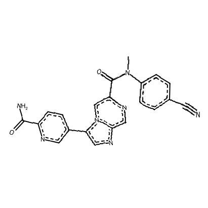 CN(C(=O)c1cn2c(-c3ccc(C(N)=O)nc3)cnc2cn1)c1ccc(C#N)cc1